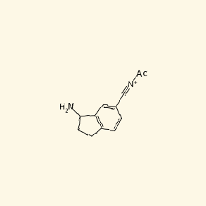 CC(=O)[N+]#Cc1ccc2c(c1)C(N)CC2